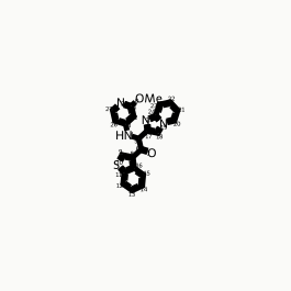 COc1cc(NC(C(=O)c2csc3ccccc23)c2cn3ccccc3n2)ccn1